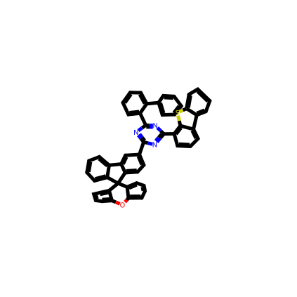 c1ccc(-c2ccccc2-c2nc(-c3ccc4c(c3)-c3ccccc3C43c4ccccc4Oc4ccccc43)nc(-c3cccc4c3sc3ccccc34)n2)cc1